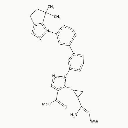 CN/C=C(\N)C1C[C@H]1c1c(C(=O)OC)cnn1-c1cccc(-c2cccc(-n3ncc4c3C(C)(C)CC4)c2)c1